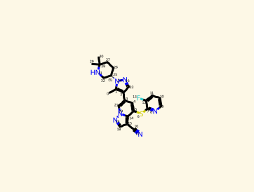 Cc1c(-c2cc(Sc3ncccc3F)c3c(C#N)cnn3c2)cnn1[C@H]1CCC(C)(C)NC1